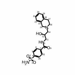 NS(=O)(=O)c1ccc(C(=O)NCC(O)CN2CCc3ccccc3C2)cc1